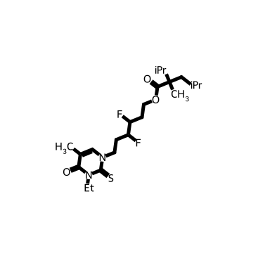 CCn1c(=O)c(C)cn(CCC(F)C(F)CCOC(=O)C(C)(CC(C)C)C(C)C)c1=S